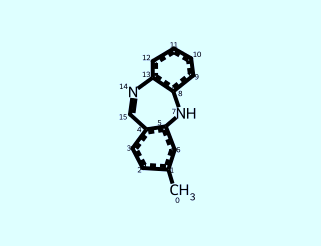 Cc1ccc2c(c1)Nc1ccccc1N=C2